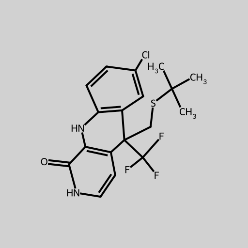 CC(C)(C)SCC1(C(F)(F)F)c2cc(Cl)ccc2Nc2c1cc[nH]c2=O